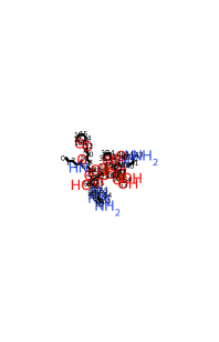 C=CCCC(=O)N[C@@H](CCCCOC1CCCCO1)C(=O)OC1C(COP(=O)(O)O[C@H]2[C@@H](OC3CCCO3)[C@H](n3ccc(N)nc3=O)O[C@@H]2COP(=O)(O)O)OC(n2cnc3c(N)ncnc32)C1O